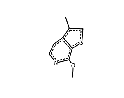 COc1nccc2c(C)csc12